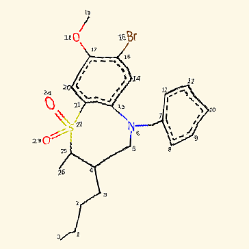 CCCCC1CN(c2ccccc2)c2cc(Br)c(OC)cc2S(=O)(=O)C1C